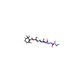 CCNC(=O)CNC(=O)/C=C(C)/C=C/C=C(C)/C=C/C1=C(C)CCCC1(C)C